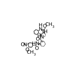 [C-]#[N+]c1ccc(C(=O)N[C@@H]2CCCC[C@@H]2C(=O)N2CC[C@@H]3[C@H](COC)Nc4ccccc4[C@@H]32)cc1OC